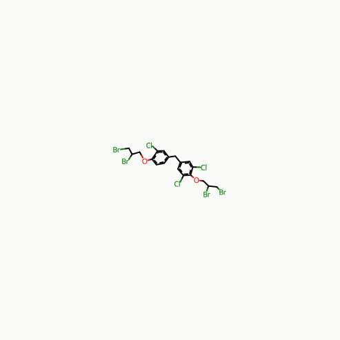 Clc1cc(Cc2cc(Cl)c(OCC(Br)CBr)c(Cl)c2)ccc1OCC(Br)CBr